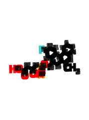 Cc1cc2ccccc2c(-c2ccc(F)cc2)c1CCCO[PH](=O)CC(O)CC(=O)O